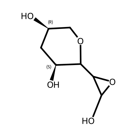 OC1OC1C1OC[C@H](O)C[C@@H]1O